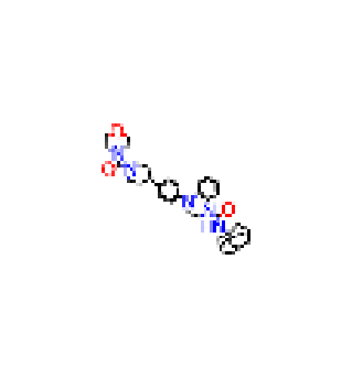 O=C(N1CCOCC1)N1CCC(c2ccc(N3CCN(C(=O)NC45CC6CC(CC(C6)C4)C5)c4ccccc43)cc2)CC1